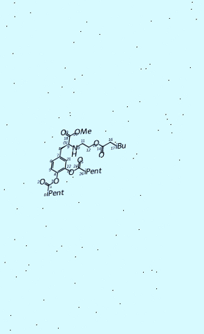 CCCC(C)C(=O)Oc1ccc(C[C@H](NCCOC(=O)CC(C)CC)C(=O)OC)cc1OC(=O)C(C)CCC